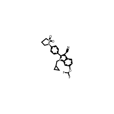 N#Cc1c(-c2ccc(N3CCCS3(=O)=O)cc2)n(CC2CC2)c2cc(OC(F)F)ccc12